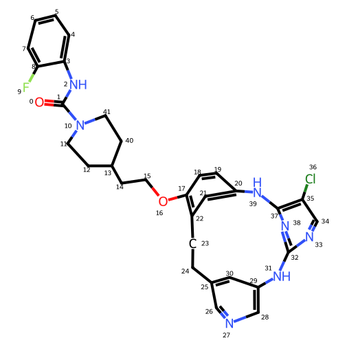 O=C(Nc1ccccc1F)N1CCC(CCOc2ccc3cc2CCc2cncc(c2)Nc2ncc(Cl)c(n2)N3)CC1